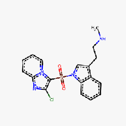 CNCCc1cn(S(=O)(=O)c2c(Cl)nc3ccccn23)c2ccccc12